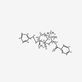 C[C@]1(O)[C@@H](OC(=O)c2ccccc2)C[C@H]2C[C@H]1OO[C@@]2(C)CSc1ccccc1